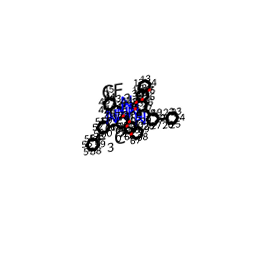 FC(F)(F)c1ccc(-n2c3ccc(-c4ccccc4)cc3c3cc(-c4ccccc4)ccc32)c(-c2nc(-c3ccccc3)nc(-c3cc(C(F)(F)F)ccc3-n3c4ccc(-c5ccccc5)cc4c4cc(-c5ccccc5)ccc43)n2)c1